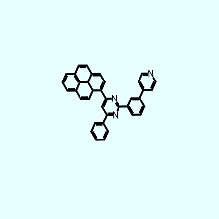 C1=Cc2cccc3c2C2C1=CC=C(c1cc(-c4ccccc4)nc(-c4cccc(-c5ccncc5)c4)n1)C2C=C3